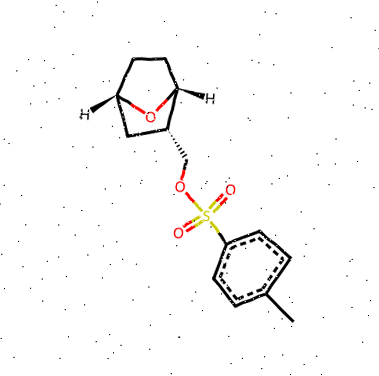 Cc1ccc(S(=O)(=O)OC[C@@H]2C[C@@H]3CC[C@H]2O3)cc1